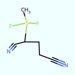 CS(F)(F)C(C#N)CCC#N